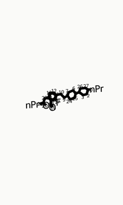 CCCC1CCC(C2CCC(CCc3ccc4c(c3F)C(=O)OC(CCC)C4)CC2)CC1